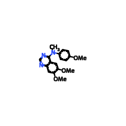 COc1ccc(N(C)c2ncnc3cc(OC)c(OC)cc23)cc1